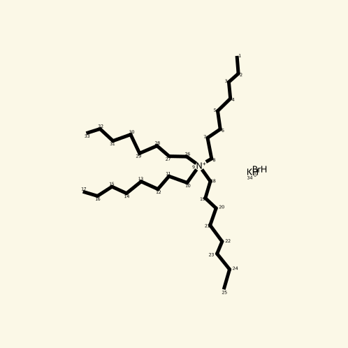 Br.CCCCCCCC[N+](CCCCCCCC)(CCCCCCCC)CCCCCCCC.[KH]